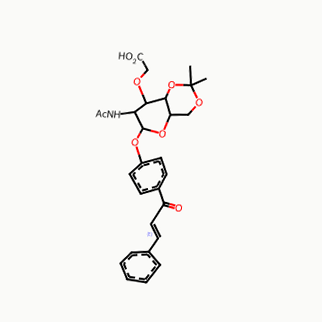 CC(=O)NC1C(Oc2ccc(C(=O)/C=C/c3ccccc3)cc2)OC2COC(C)(C)OC2C1OCC(=O)O